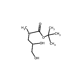 CN(CC(O)CO)C(=O)OC(C)(C)C